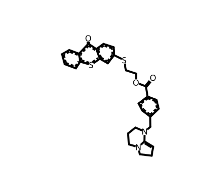 O=C(OCCSc1ccc2c(=O)c3ccccc3sc2c1)c1ccc(CN2CCCN3CCC=C32)cc1